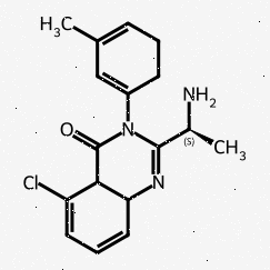 CC1=CCCC(N2C(=O)C3C(Cl)=CC=CC3N=C2[C@H](C)N)=C1